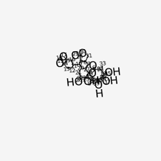 CC[C@@]1(C)OC(Oc2c3c(c(-c4ccc5c(c4)OCO5)c4cc(O)c(O)cc24)C(=O)OC3)[C@@H](C)[C@H](O)[C@@H](O)[C@@H]1O